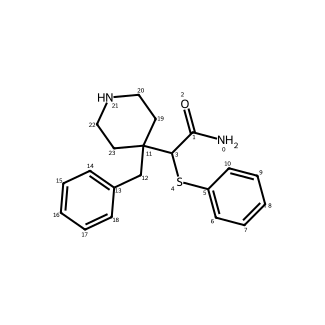 NC(=O)C(Sc1cc[c]cc1)C1(Cc2ccccc2)CCNCC1